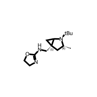 C[C@@H]1C[C@@]2(CNC3=NCCO3)CC2N1C(C)(C)C